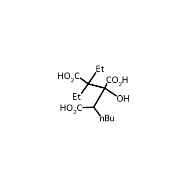 CCCCC(C(=O)O)C(O)(C(=O)O)C(CC)(CC)C(=O)O